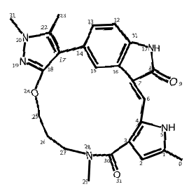 Cc1cc2c([nH]1)/C=C1\C(=O)Nc3ccc(cc31)-c1c(nn(C)c1C)OCCCN(C)C2=O